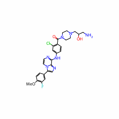 COc1ccc(-c2cnc3c(Nc4ccc(C(=O)N5CCN(CC(O)CN)CC5)c(Cl)c4)nccn23)cc1F